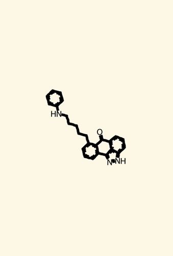 O=C1c2c(CCCCCNc3ccccc3)cccc2-c2n[nH]c3cccc1c23